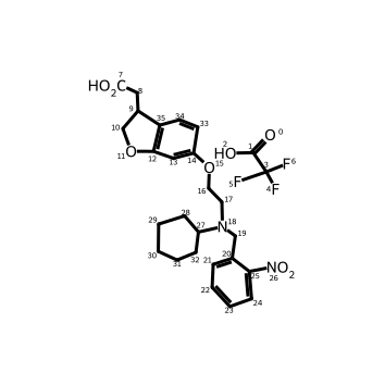 O=C(O)C(F)(F)F.O=C(O)CC1COc2cc(OCCN(Cc3ccccc3[N+](=O)[O-])C3CCCCC3)ccc21